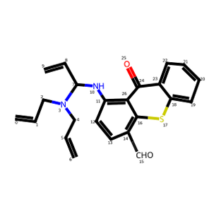 C=CCN(CC=C)C(C=C)Nc1ccc(C=O)c2sc3ccccc3c(=O)c12